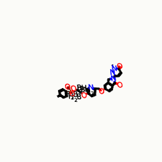 BC(B)(Oc1ccc(COc2ccc3c(c2)CN(c2ccc(=O)n(C)n2)C3=O)nc1)C(B)(B)OS(=O)(=O)c1ccc(C)cc1